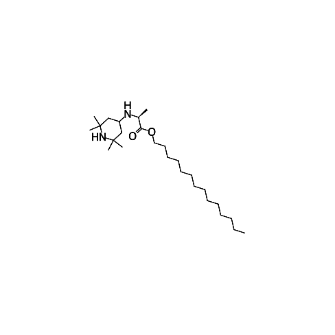 CCCCCCCCCCCCCCOC(=O)[C@H](C)NC1CC(C)(C)NC(C)(C)C1